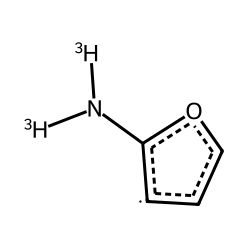 [3H]N([3H])c1[c]cco1